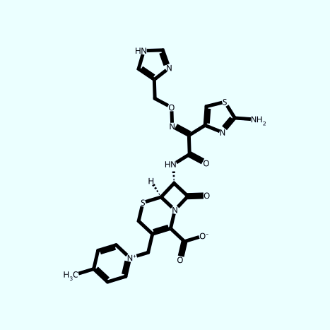 Cc1cc[n+](CC2=C(C(=O)[O-])N3C(=O)[C@@H](NC(=O)C(=NOCc4c[nH]cn4)c4csc(N)n4)[C@@H]3SC2)cc1